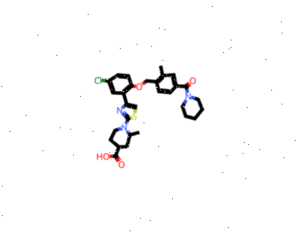 Cc1cc(C(=O)N2CCCCC2)ccc1COc1ccc(Cl)cc1-c1csc(N2CCC(C(=O)O)CC2C)n1